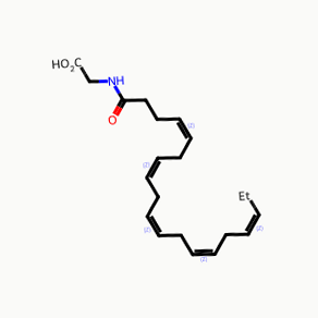 CC/C=C\C/C=C\C/C=C\C/C=C\C/C=C\CCC(=O)NCC(=O)O